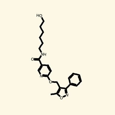 Cc1onc(-c2ccccc2)c1COc1ccc(C(=O)NCCCCCCO)cn1